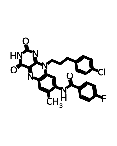 Cc1cc2nc3c(=O)[nH]c(=O)nc-3n(CCCc3ccc(Cl)cc3)c2cc1NC(=O)c1ccc(F)cc1